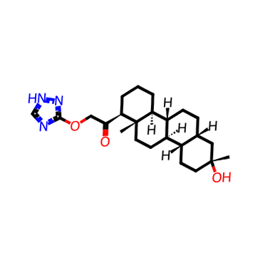 C[C@@]1(O)CC[C@H]2[C@H](CC[C@@H]3[C@@H]2CC[C@]2(C)[C@@H](C(=O)COc4nc[nH]n4)CCC[C@@H]32)C1